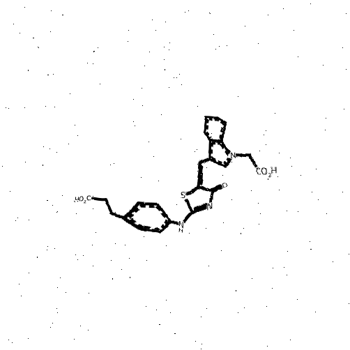 O=C(O)CCc1ccc(NC2=NC(=O)/C(=C\c3cn(CC(=O)O)c4ccccc34)S2)cc1